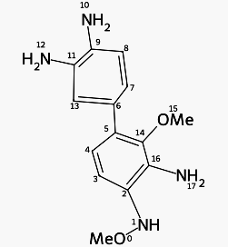 CONc1ccc(-c2ccc(N)c(N)c2)c(OC)c1N